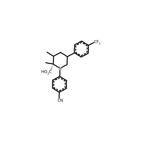 CC1CC(c2ccc(C(F)(F)F)cc2)CN(c2ccc(C#N)cc2)[C@]1(C)C(=O)O